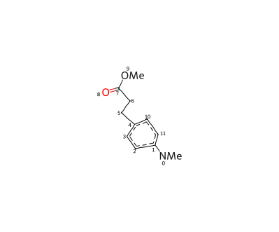 CNc1ccc(CCC(=O)OC)cc1